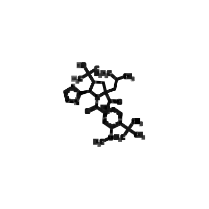 COc1cc(C(=O)N2[C@@H](c3nccs3)C(C(C)(C)O)CC2(CC(C)C)C(=O)O)ccc1C(C)(C)C